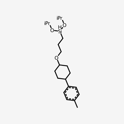 Cc1ccc(C2CCC(OCCC[SiH](OC(C)C)OC(C)C)CC2)cc1